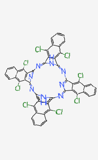 Clc1c2c(c(Cl)c3ccccc13)-c1nc-2nc2[nH]c(nc3nc(nc4[nH]c(n1)c1c(Cl)c5ccccc5c(Cl)c41)-c1c-3c(Cl)c3ccccc3c1Cl)c1c(Cl)c3ccccc3c(Cl)c21